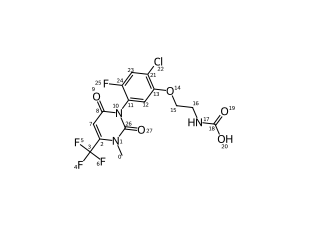 Cn1c(C(F)(F)F)cc(=O)n(-c2cc(OCCNC(=O)O)c(Cl)cc2F)c1=O